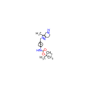 Cc1c2c(nn1CC13CCC(NC(=O)OC(C)(C)C)(CC1)CC3)CCNC2